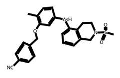 Cc1ccc([AsH]c2cccc3c2CCN(S(C)(=O)=O)C3)cc1OCc1ccc(C#N)cc1